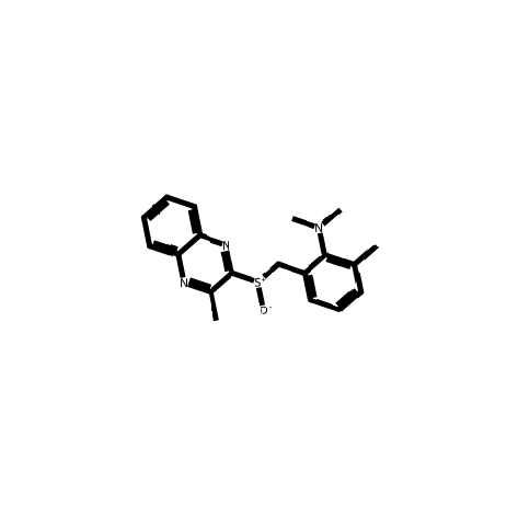 Cc1cccc(C[S+]([O-])c2nc3ccccc3nc2C)c1N(C)C